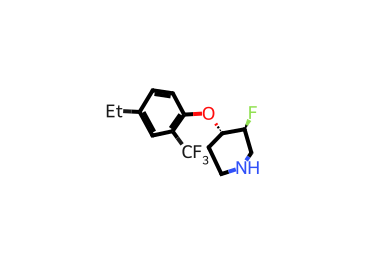 CCc1ccc(O[C@H]2CCNC[C@@H]2F)c(C(F)(F)F)c1